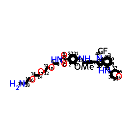 COc1cc(S(=O)(=O)NCCOCCOCCOCCN)ccc1NCC#Cc1cc2c(NC3CCOCC3)cccc2n1CC(F)(F)F